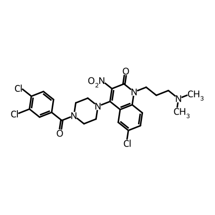 CN(C)CCCn1c(=O)c([N+](=O)[O-])c(N2CCN(C(=O)c3ccc(Cl)c(Cl)c3)CC2)c2cc(Cl)ccc21